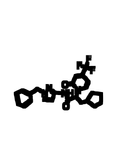 O=C(Nc1ccn(Cc2ccccc2)n1)C(CC1CCCC1)n1ccc(C(F)(F)F)cc1=O